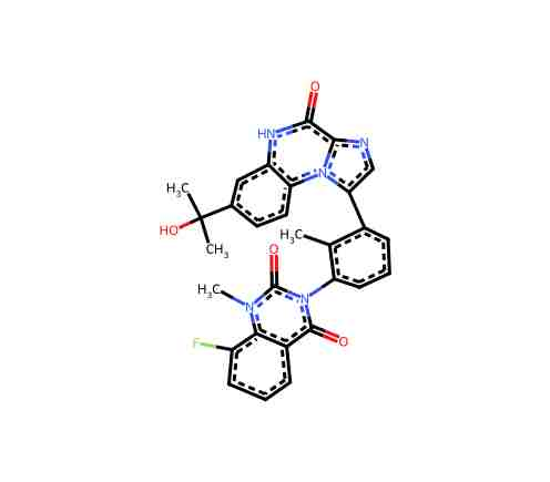 Cc1c(-c2cnc3c(=O)[nH]c4cc(C(C)(C)O)ccc4n23)cccc1-n1c(=O)c2cccc(F)c2n(C)c1=O